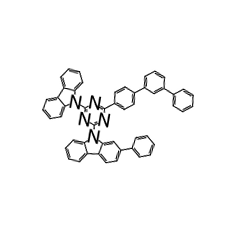 c1ccc(-c2cccc(-c3ccc(-c4nc(-n5c6ccccc6c6ccccc65)nc(-n5c6ccccc6c6ccc(-c7ccccc7)cc65)n4)cc3)c2)cc1